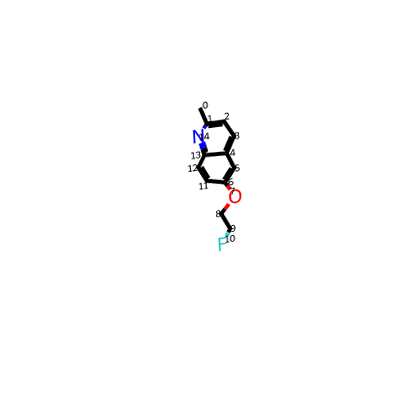 Cc1ccc2cc(OCCF)ccc2n1